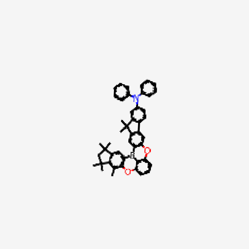 Cc1c2c(cc3c1C(C)(C)CC3(C)C)B1c3cc4c(cc3Oc3cccc(c31)O2)-c1ccc(N(c2ccccc2)c2ccccc2)cc1C4(C)C